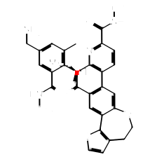 CCCCNC(=O)c1cc(CN)cc(C)c1NC(=O)c1cc2c(cc1-c1ccc(C(=O)NCCC)nc1C(=O)OC)OCCc1ccsc1-2